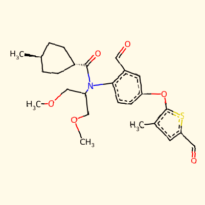 COCC(COC)N(c1ccc(Oc2sc(C=O)cc2C)cc1C=O)C(=O)[C@H]1CC[C@H](C)CC1